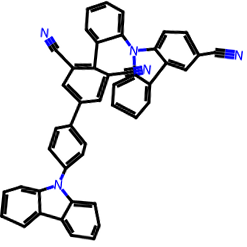 N#Cc1ccc2c(c1)c1ccccc1n2-c1ccccc1-c1c(C#N)cc(-c2ccc(-n3c4ccccc4c4ccccc43)cc2)cc1C#N